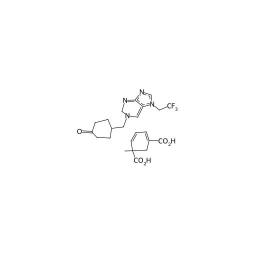 CC1(C(=O)O)C=CC=C(C(=O)O)C1.O=C1CCC(CN2C=c3c(ncn3CC(F)(F)F)=NC2)CC1